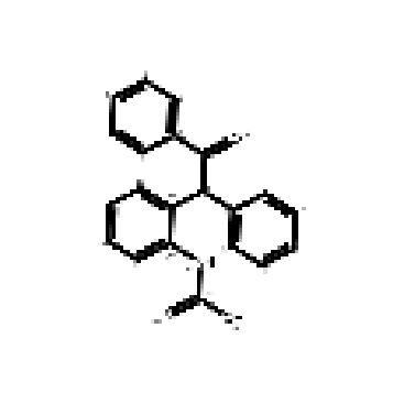 O=C(c1ccccc1)C(c1ccccc1)c1ccccc1NC(O)=S